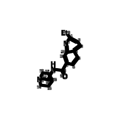 CCc1ccc2ccc(C(=O)NC3CN4CCC3CC4)cc2n1